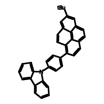 CC(C)(C)c1cc2ccc3ccc(-c4ccc(-n5c6ccccc6c6ccccc65)cc4)c4ccc(c1)c2c34